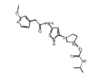 COc1cc(CC(=O)Nc2cc([C@H]3CC[C@@H](OC(=O)NC(C)C)C3)[nH]n2)ccn1